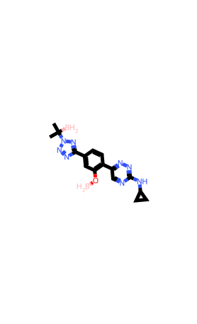 BOc1cc(-c2nnn(C(B)(C)C)n2)ccc1-c1cnc(NC2CC2)nn1